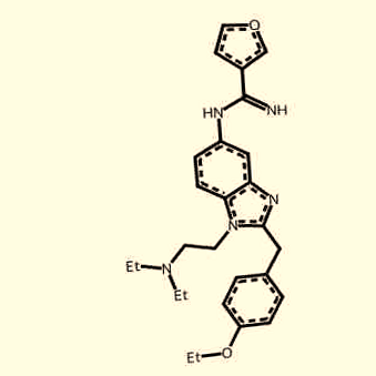 CCOc1ccc(Cc2nc3cc(NC(=N)c4ccoc4)ccc3n2CCN(CC)CC)cc1